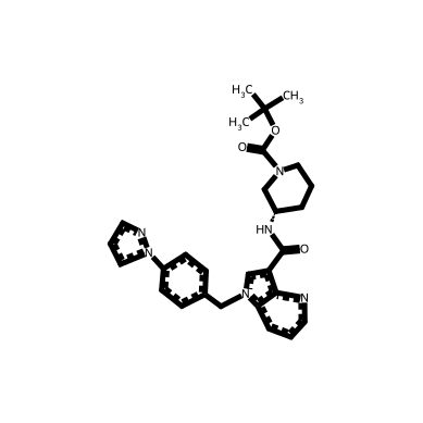 CC(C)(C)OC(=O)N1CCC[C@H](NC(=O)c2cn(Cc3ccc(-n4cccn4)cc3)c3cccnc23)C1